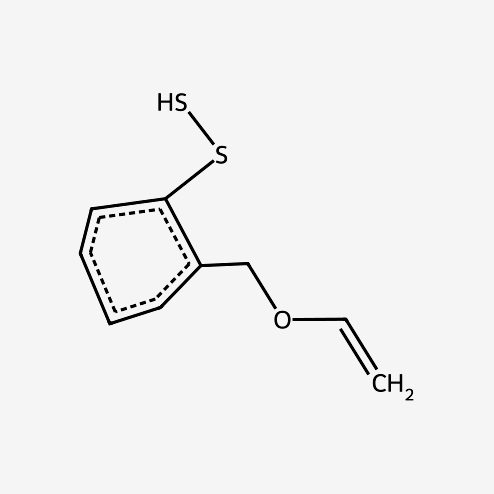 C=COCc1ccccc1SS